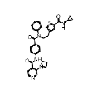 O=C(NC1CC1)c1cc2c(s1)-c1ccccc1N(C(=O)c1ccc(NC(=O)c3ccncc3N3CCC3)cc1)CC2